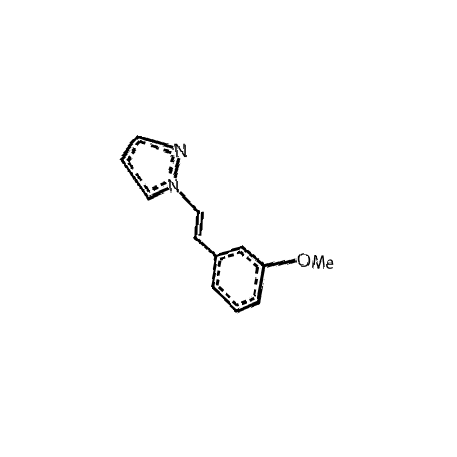 COc1cccc(C=Cn2cccn2)c1